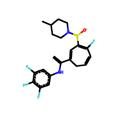 C=C(Nc1cc(F)c(F)c(F)c1)C1=CC([S+]([O-])N2CCC(C)CC2)=C(F)C=CC1